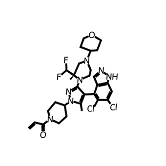 C=CC(=O)N1CCC(n2nc(N3CCN(C4CCOCC4)C[C@@]3(C)C(F)F)c(-c3c(Cl)c(Cl)cc4[nH]ncc34)c2C)CC1